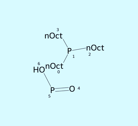 CCCCCCCCP(CCCCCCCC)CCCCCCCC.O=PO